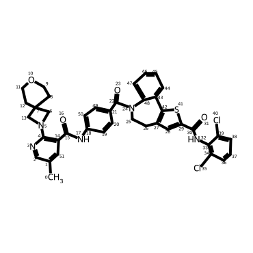 Cc1cnc(N2CC3(CCOCC3)C2)c(C(=O)Nc2ccc(C(=O)N3CCc4cc(C(=O)Nc5c(Cl)cccc5Cl)sc4-c4ccccc43)cc2)c1